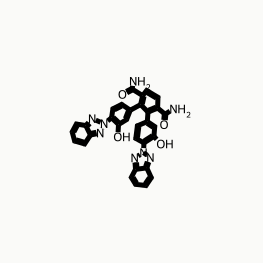 NC(=O)c1ccc(C(N)=O)c(-c2ccc(-n3nc4ccccc4n3)c(O)c2)c1-c1ccc(-n2nc3ccccc3n2)c(O)c1